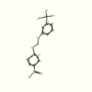 O=[N+]([O-])c1ccc(OCOc2cccc(C(F)(F)F)c2)cc1